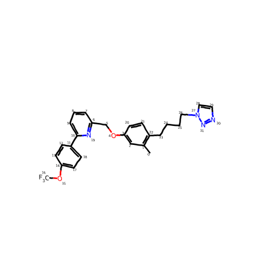 Cc1cc(OCc2cccc(-c3ccc(OC(F)(F)F)cc3)n2)ccc1CCCCn1ccnn1